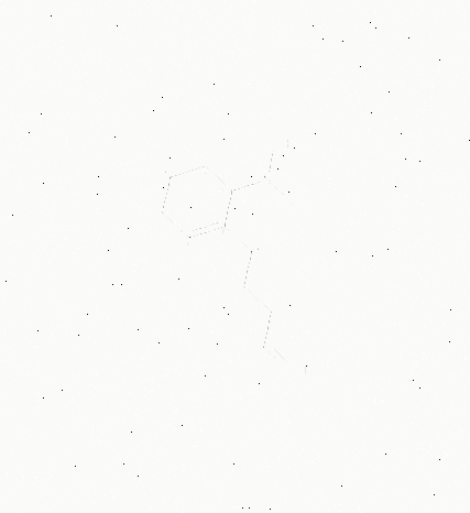 C=CCCCC1=CCCC=C1N(C)C